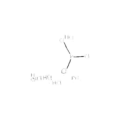 Cl.Cl.Cl.Cl.Cl.ClP(Cl)Cl.P